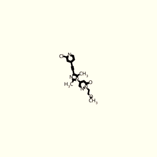 COCCn1ncc(-n2c(C)nc(C#Cc3ccnc(Cl)c3)c2C)cc1=O